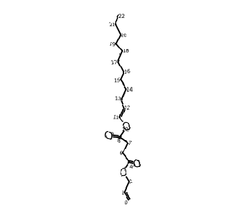 C=CCOC(=O)CCC(=O)O/C=C/CCCCCCCCCC